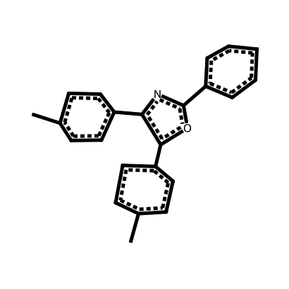 Cc1ccc(-c2nc(-c3ccccc3)oc2-c2ccc(C)cc2)cc1